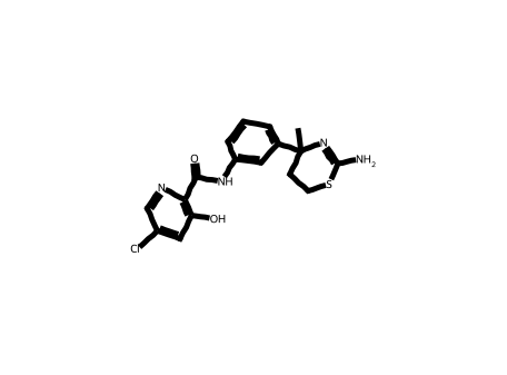 CC1(c2cccc(NC(=O)c3ncc(Cl)cc3O)c2)CCSC(N)=N1